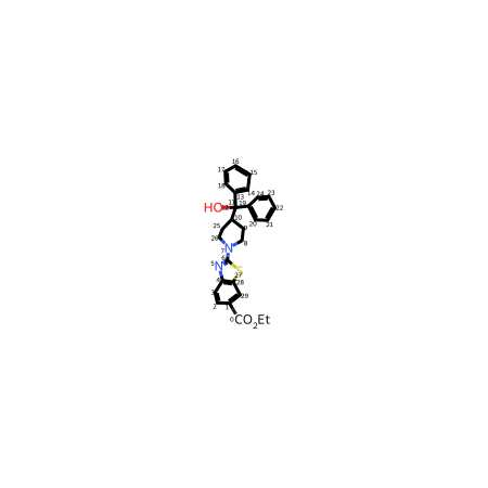 CCOC(=O)c1ccc2nc(N3CCC(C(O)(c4ccccc4)c4ccccc4)CC3)sc2c1